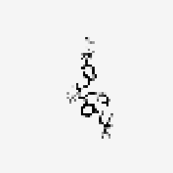 CN(C(=O)Cc1ccc(S(C)(=O)=O)cc1)C(CN1CCC(F)C1)c1cccc(OCC(=O)O)c1